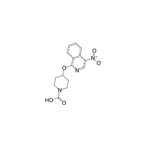 O=C(O)N1CCC(Oc2ncc([N+](=O)[O-])c3ccccc23)CC1